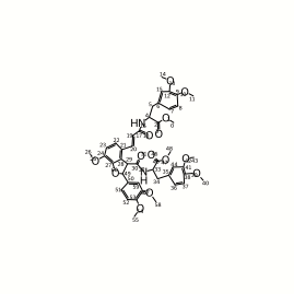 COC(=O)C(Cc1ccc(OC)c(OC)c1)NC(=O)C=Cc1ccc(OC)c2c1C(C(=O)NC(Cc1ccc(OC)c(OC)c1)C(=O)OC)C(c1ccc(OC)c(OC)c1)O2